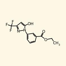 CCOC(=O)c1cccc(-n2nc(C(F)(F)F)cc2O)c1